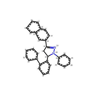 c1ccc(-c2ccccc2C2CC(c3ccc4ccccc4c3)=NN2c2ccccc2)cc1